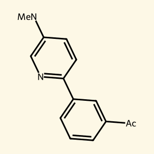 CNc1ccc(-c2cccc(C(C)=O)c2)nc1